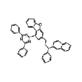 c1ccc(-c2nc(-c3ccccc3)nc(-c3cc(CCC(c4ccccc4)c4ccc5ccccc5c4)cc4oc5ccccc5c34)n2)cc1